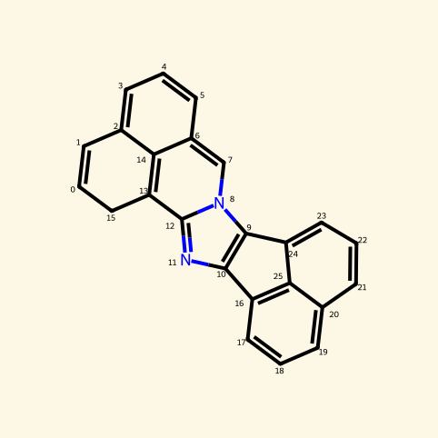 C1=Cc2cccc3cn4c5c(nc4c(c23)C1)-c1cccc2cccc-5c12